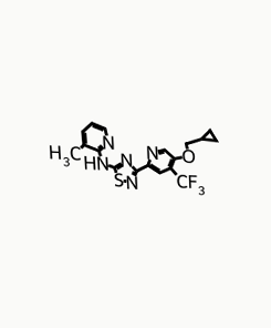 Cc1cccnc1Nc1nc(-c2cc(C(F)(F)F)c(OCC3CC3)cn2)ns1